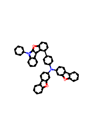 c1ccc(-n2c3ccccc3c3c4c(-c5ccc(N(c6ccc7c(c6)oc6ccccc67)c6ccc7c(c6)oc6ccccc67)cc5)cccc4oc32)cc1